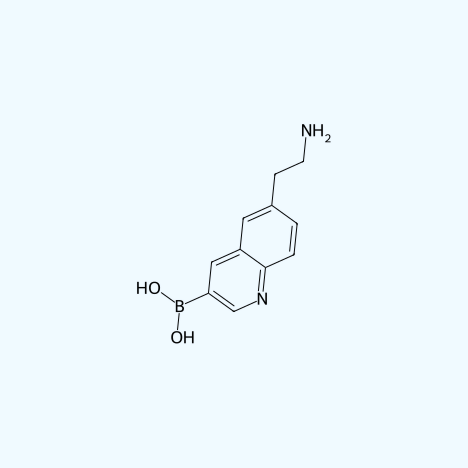 NCCc1ccc2ncc(B(O)O)cc2c1